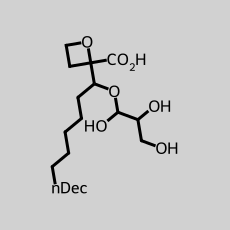 CCCCCCCCCCCCCCCC(OC(O)C(O)CO)C1(C(=O)O)CCO1